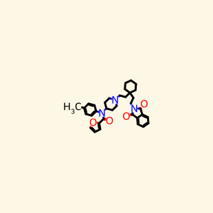 Cc1ccc(N(C(=O)c2ccco2)C2CCN(CCC3(CCN4C(=O)c5ccccc5C4=O)CCCCC3)CC2)cc1